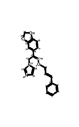 C(=C\c1ccccc1)/CO/N=C(\Cn1ccnc1)c1ccc2c(c1)OCO2